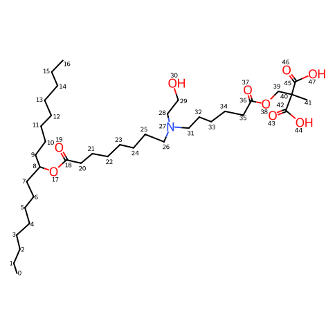 CCCCCCCCC(CCCCCCCC)OC(=O)CCCCCCCN(CCO)CCCCCC(=O)OCC(C)(C(=O)O)C(=O)O